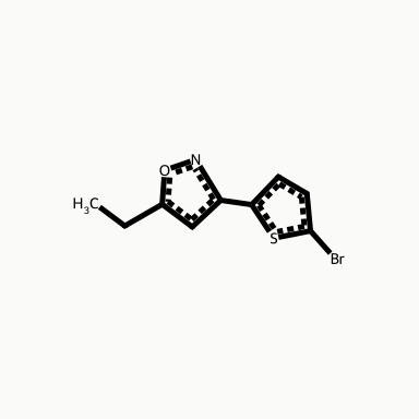 CCc1cc(-c2ccc(Br)s2)no1